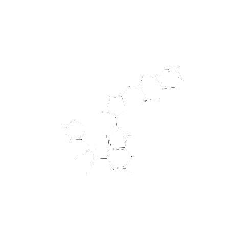 Cc1cc(N(C)S(=O)(=O)c2cccs2)c2[nH]c(C3=NCC(CN(Cc4ccccc4)C(=O)O)S3)cc2c1